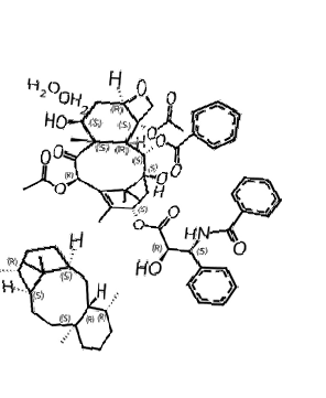 CC(=O)O[C@H]1C(=O)[C@@]2(C)[C@H]([C@H](OC(=O)c3ccccc3)[C@]3(O)C[C@H](OC(=O)[C@H](O)[C@@H](NC(=O)c4ccccc4)c4ccccc4)C(C)=C1C3(C)C)[C@]1(OC(C)=O)CO[C@@H]1C[C@@H]2O.C[C@@H]1CCC[C@@]2(C)CC[C@H]3[C@H](C)CC[C@@H](C[C@H]12)C3(C)C.O.O